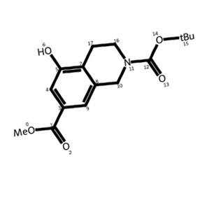 COC(=O)c1cc(O)c2c(c1)CN(C(=O)OC(C)(C)C)CC2